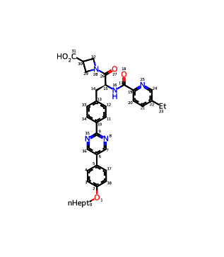 CCCCCCCOc1ccc(-c2cnc(-c3ccc(C[C@H](NC(=O)c4ccc(CC)cn4)C(=O)N4CC(C(=O)O)C4)cc3)nc2)cc1